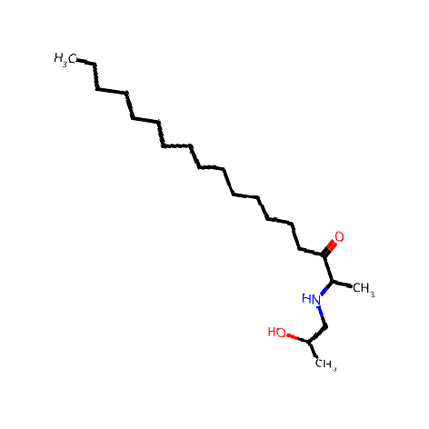 CCCCCCCCCCCCCCCC(=O)C(C)NCC(C)O